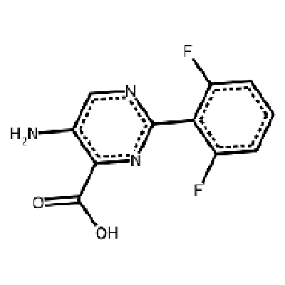 Nc1cnc(-c2c(F)cccc2F)nc1C(=O)O